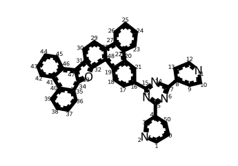 c1cncc(-c2nc(-c3ccncc3)nc(-c3ccc4c(c3)c3ccccc3c3ccc5c(oc6c7ccccc7c7ccccc7c56)c34)n2)c1